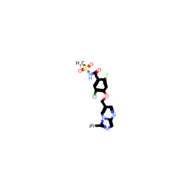 CC(C)c1ncc2ncc(COc3cc(F)c(C(=O)NS(C)(=O)=O)cc3Cl)cn12